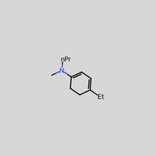 CCCN(C)C1=CC=C(CC)CC1